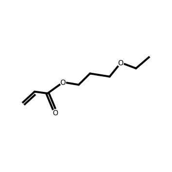 C=CC(=O)OCCCOCC